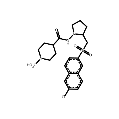 O=C(NN1CCCC1CS(=O)(=O)c1ccc2cc(Cl)ccc2c1)C1CCN(C(=O)O)CC1